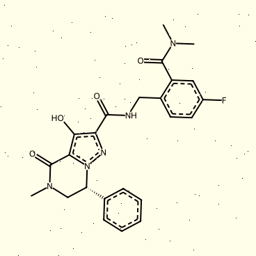 CN(C)C(=O)c1cc(F)ccc1CNC(=O)c1nn2c(c1O)C(=O)N(C)C[C@H]2c1ccccc1